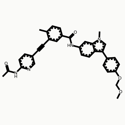 COCOc1ccc(-c2cn(C)c3cc(NC(=O)c4ccc(C)c(C#Cc5ccc(NC(C)=O)nc5)c4)ccc23)cc1